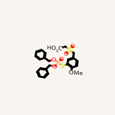 COc1ccc(CS(=O)(=O)CC(=O)O)cc1SP(=O)(OCc1ccccc1)OCc1ccccc1